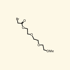 COCCOCCOCCOC(=O)CBr